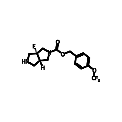 O=C(OCc1ccc(OC(F)(F)F)cc1)N1C[C@@H]2CNC[C@@]2(F)C1